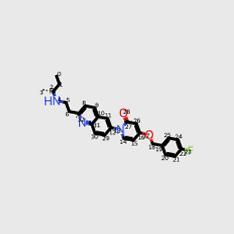 CC[C@@H](C)NCCc1ccc2cc(-n3ccc(OCc4ccc(F)cc4)cc3=O)ccc2n1